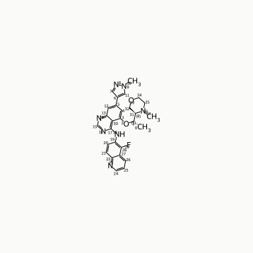 C[C@H](Oc1cc(-c2cnn(C)c2)cc2ncnc(Nc3ccc4ncccc4c3F)c12)[C@H]1COCCN1C